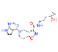 O=C(NCCCC1(O)CC1)c1noc2c1CN(c1ncnc3[nH]ccc13)CC2